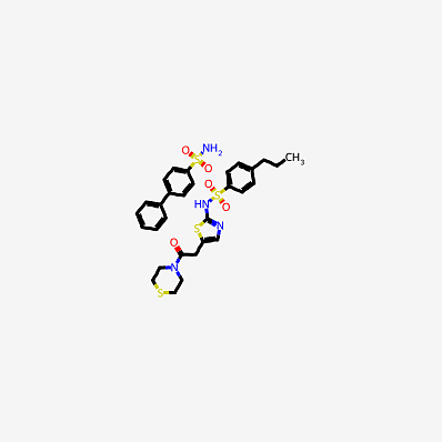 CCCc1ccc(S(=O)(=O)Nc2ncc(CC(=O)N3CCSCC3)s2)cc1.NS(=O)(=O)c1ccc(-c2ccccc2)cc1